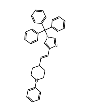 C(=CC1CCN(c2ccccc2)CC1)c1cn(C(c2ccccc2)(c2ccccc2)c2ccccc2)cn1